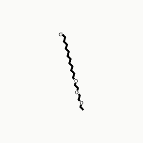 CCOCCOCCOCCCCCCCCCCCCCl